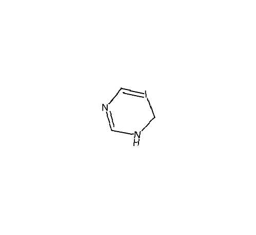 C1=NC=ICN1